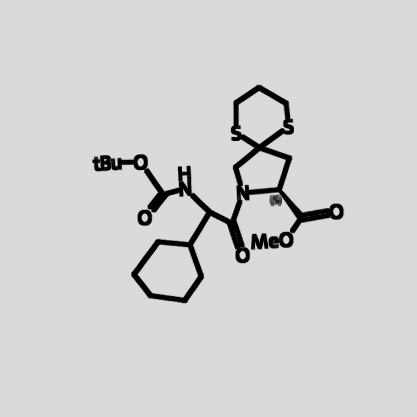 COC(=O)[C@@H]1CC2(CN1C(=O)C(NC(=O)OC(C)(C)C)C1CCCCC1)SCCCS2